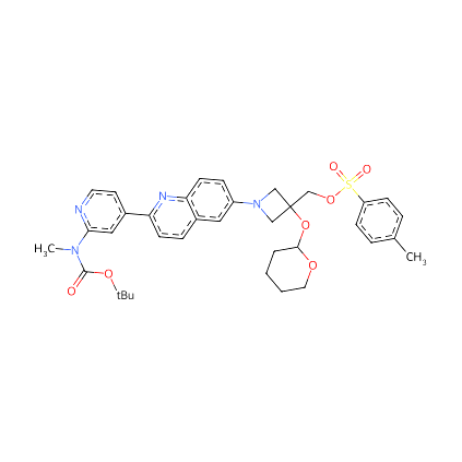 Cc1ccc(S(=O)(=O)OCC2(OC3CCCCO3)CN(c3ccc4nc(-c5ccnc(N(C)C(=O)OC(C)(C)C)c5)ccc4c3)C2)cc1